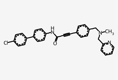 CN(Cc1ccc(C#CC(=O)Nc2ccc(-c3ccc(Cl)cc3)cc2)cc1)Cc1ccccn1